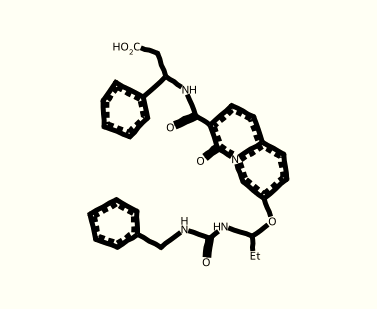 CCC(NC(=O)NCc1ccccc1)Oc1ccc2ccc(C(=O)NC(CC(=O)O)c3ccccc3)c(=O)n2c1